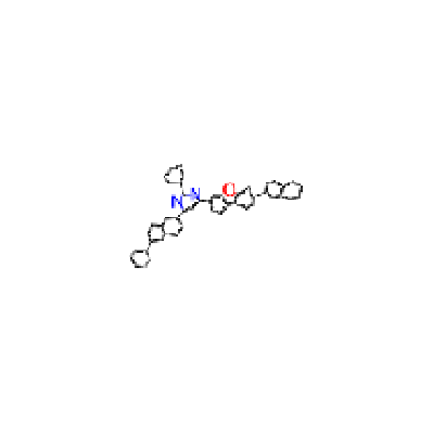 c1ccc(-c2ccc3cc(-c4cc(-c5ccc6c(c5)oc5cc(-c7ccc8ccccc8c7)ccc56)nc(-c5ccccc5)n4)ccc3c2)cc1